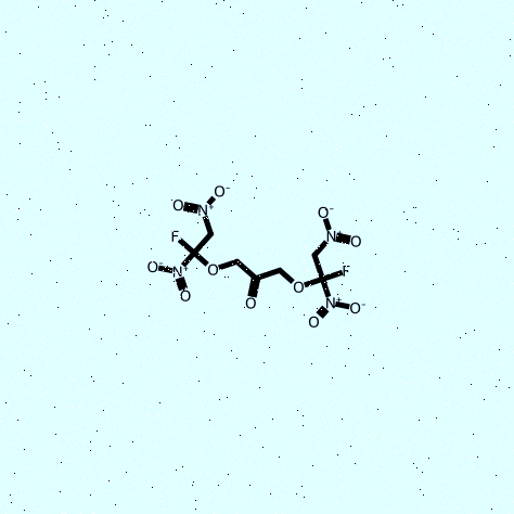 O=C(COC(F)(C[N+](=O)[O-])[N+](=O)[O-])COC(F)(C[N+](=O)[O-])[N+](=O)[O-]